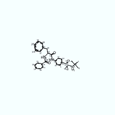 CC(C)(C)NS(=O)(=O)c1ccc(NC(=O)C(Cc2ccccc2)NC(=O)c2ccccc2)cc1